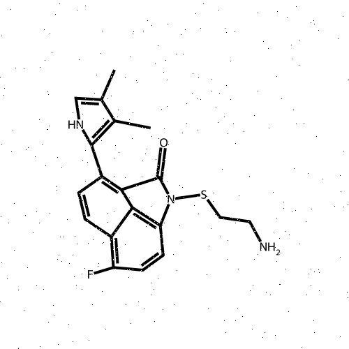 Cc1c[nH]c(-c2ccc3c(F)ccc4c3c2C(=O)N4SCCN)c1C